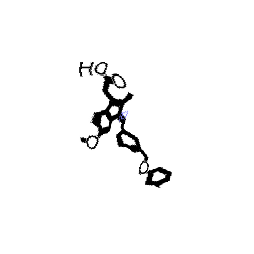 COc1ccc2c(c1)/C(=C\c1cccc(COc3ccccc3)c1)C(C)=C2CC(=O)O